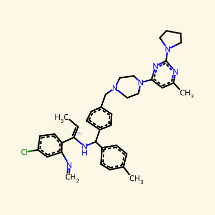 C=Nc1cc(Cl)ccc1/C(=C\C)NC(c1ccc(C)cc1)c1ccc(CN2CCN(c3cc(C)nc(N4CCCC4)n3)CC2)cc1